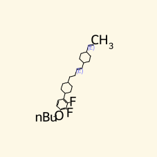 C/C=C/C1CCC(/C=C/CCC2CCC(c3ccc(OCCCC)c(F)c3F)CC2)CC1